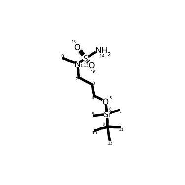 CN(CCCO[Si](C)(C)C(C)(C)C)S(N)(=O)=O